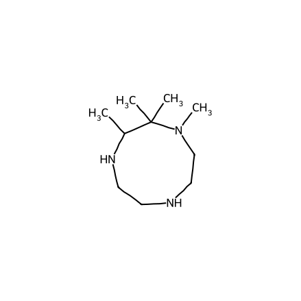 CC1NCCNCCN(C)C1(C)C